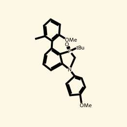 COc1ccc(N2CP(=O)(C(C)(C)C)c3c(-c4c(C)cccc4OC)cccc32)cc1